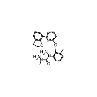 Cc1cccc(N(N)C(=O)N(C)N)c1COc1cccc(-c2cccc3c2OCC3)n1